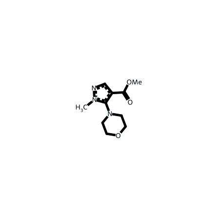 COC(=O)c1cnn(C)c1N1CCOCC1